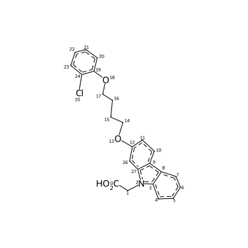 O=C(O)Cn1c2ccccc2c2ccc(OCCCCOc3ccccc3Cl)cc21